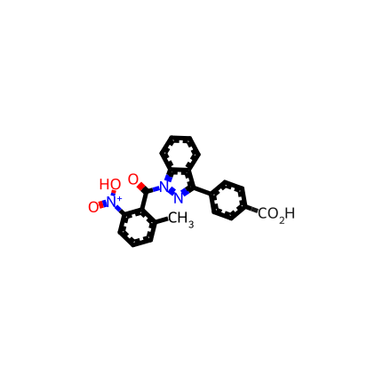 Cc1cccc([N+](=O)O)c1C(=O)n1nc(-c2ccc(C(=O)O)cc2)c2ccccc21